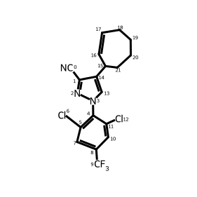 N#Cc1nn(-c2c(Cl)cc(C(F)(F)F)cc2Cl)cc1C1C=CCCCC1